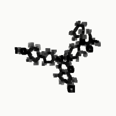 CC1CN(C(=O)[C@@H](Cc2ccc(Cl)cc2)NC2CCC(c3ccc(O)cc3)CC2)CCC1N(C(=O)N(C)C)C1CCCCC1